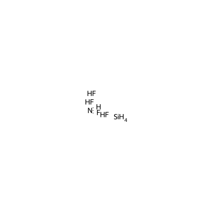 F.F.F.F.[N].[SiH4]